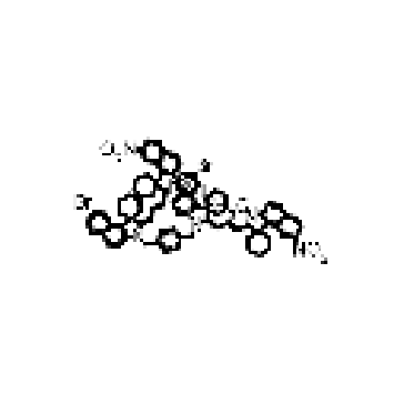 C[N+]1=C(/C=C/C=C2/N(Cc3ccc(CN4/C(=C/C=C/C5=[N+](C)c6ccc7ccc([N+](=O)[O-])cc7c6C56CCCCC6)C5(CCCCC5)c5c4ccc4ccc(Br)cc54)cc3)c3ccc4ccc(Br)cc4c3C23CCCCC3)C2(CCCCC2)c2c1ccc1ccc([N+](=O)[O-])cc21